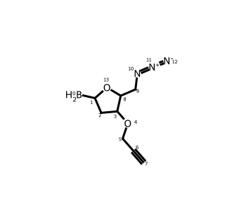 BC1CC(OCC#C)C(CN=[N+]=[N-])O1